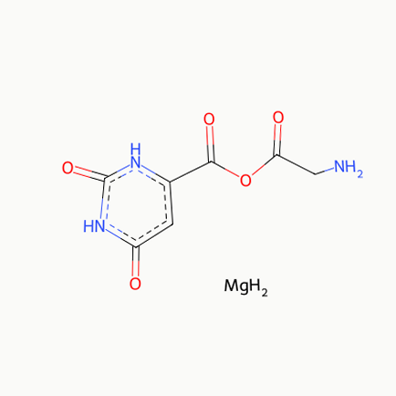 NCC(=O)OC(=O)c1cc(=O)[nH]c(=O)[nH]1.[MgH2]